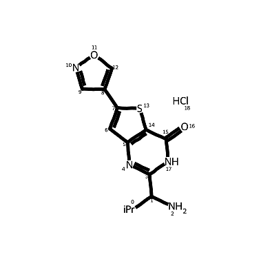 CC(C)C(N)c1nc2cc(-c3cnoc3)sc2c(=O)[nH]1.Cl